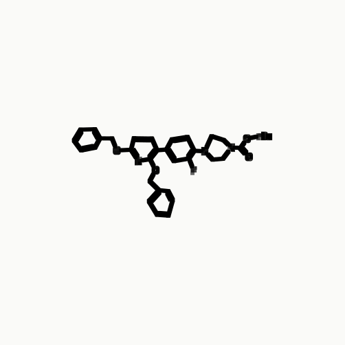 CCCCOC(=O)N1CCN(c2ccc(-c3ccc(OCc4ccccc4)nc3OCc3ccccc3)cc2F)CC1